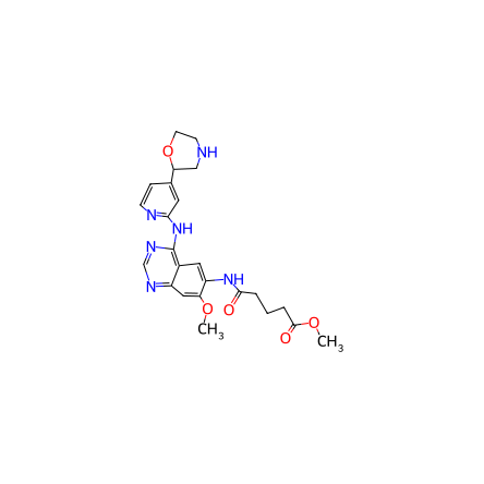 COC(=O)CCCC(=O)Nc1cc2c(Nc3cc(C4CNCCO4)ccn3)ncnc2cc1OC